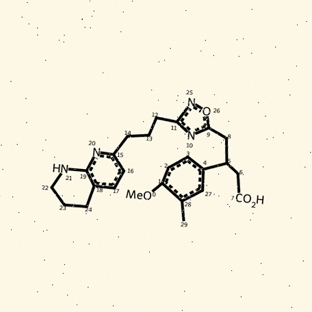 COc1ccc(C(CC(=O)O)Cc2nc(CCCc3ccc4c(n3)NCCC4)no2)cc1C